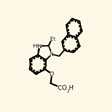 CCC1Nc2cccc(OCC(=O)O)c2N1Cc1ccc2ccccc2c1